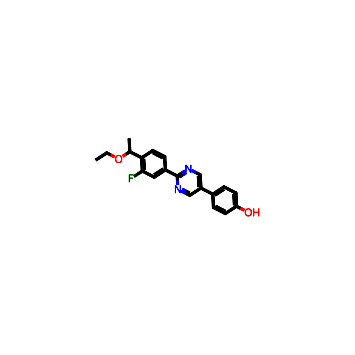 CCOC(C)c1ccc(-c2ncc(-c3ccc(O)cc3)cn2)cc1F